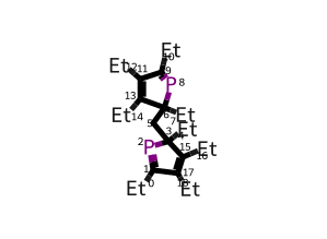 CCC1=PC(CC)(CC2(CC)P=C(CC)C(CC)=C2CC)C(CC)=C1CC